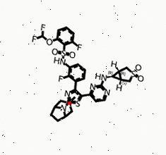 CN1CC2CCC(C1)N2c1nc(-c2cccc(NS(=O)(=O)c3c(F)cccc3OC(F)F)c2F)c(-c2ccnc(N[C@H]3[C@@H]4CS(=O)(=O)C[C@@H]43)n2)s1